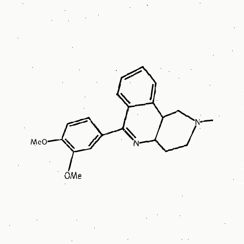 COc1ccc(C2=NC3CCN(C)CC3c3ccccc32)cc1OC